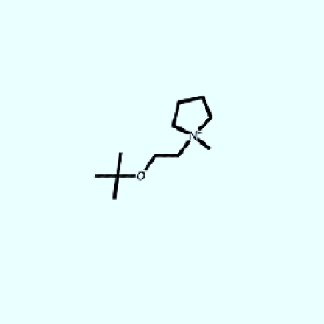 CC(C)(C)OCC[N+]1(C)CCCC1